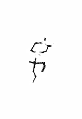 CCCC(C)(CC)N1CCN(C)C(=O)C1